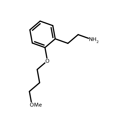 COCCCOc1ccccc1CCN